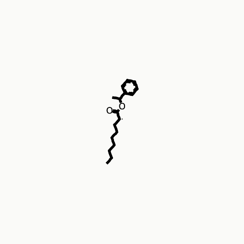 CCCCCCC[CH]C(=O)OC(C)c1ccccc1